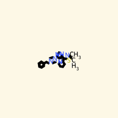 Cc1nc(-c2c3n(c4c(N5CCN(CCc6ccccc6)CC5)ncnc24)CCCC3)sc1C